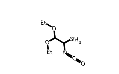 CCOC(OCC)C([SiH3])N=C=O